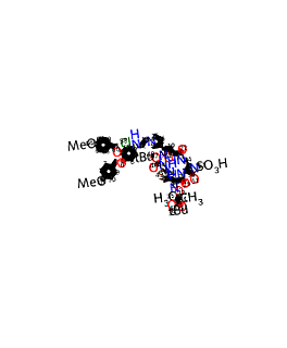 COc1ccc(COc2ccc(NCCN3CC[C@@H](c4cc(C(=O)NC[C@@H]5[C@H](NC(=O)/C(=N\OC(C)(C)C(=O)OC(C)(C)C)c6csc(NC(=O)OC(C)(C)C)n6)C(=O)N5S(=O)(=O)O)on4)C3)c(Cl)c2OCc2ccc(OC)cc2)cc1